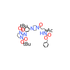 CC(=O)[C@H](CCC(=O)N1CCN(c2cccc(N=C3N(C(=O)OC(C)(C)C)CCCN3C(=O)OC(C)(C)C)c2)CC1)NC(=O)OCc1ccccc1